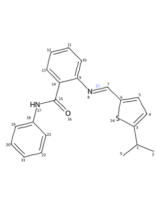 CC(C)c1ccc(/C=N/c2ccccc2C(=O)Nc2ccccc2)s1